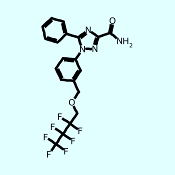 NC(=O)c1nc(-c2ccccc2)n(-c2cccc(COCC(F)(F)C(F)(F)C(F)(F)F)c2)n1